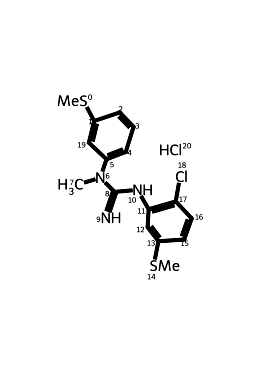 CSc1cccc(N(C)C(=N)Nc2cc(SC)ccc2Cl)c1.Cl